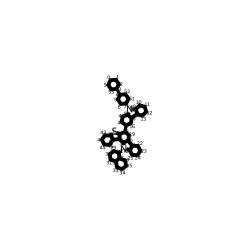 c1ccc(-c2ccc(-n3c4ccccc4c4cc(-c5cc6c7ccccc7n(-c7cccc8ccccc78)c6c6c5sc5ccccc56)ccc43)cc2)cc1